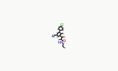 CCCNC(=O)/C(C)=C(\C)c1cc(C#N)cc(-c2ccc(Cl)cc2)c1C